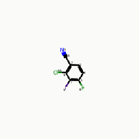 N#Cc1ccc(F)c(I)c1Cl